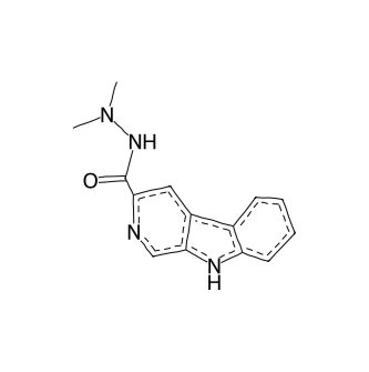 CN(C)NC(=O)c1cc2c(cn1)[nH]c1ccccc12